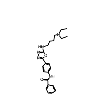 CCN(CC)CCCCNc1nnc(-c2ccc(NC(=O)c3ccccc3)cc2)o1